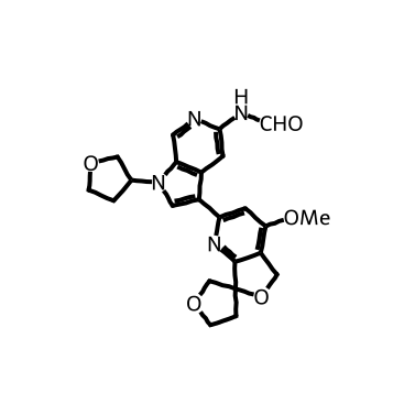 COc1cc(-c2cn(C3CCOC3)c3cnc(NC=O)cc23)nc2c1COC21CCOC1